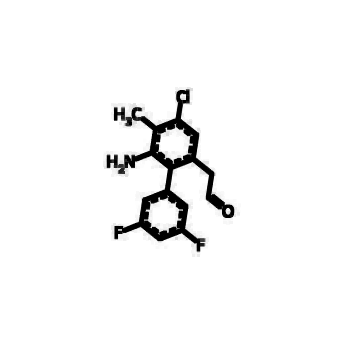 Cc1c(Cl)cc(CC=O)c(-c2cc(F)cc(F)c2)c1N